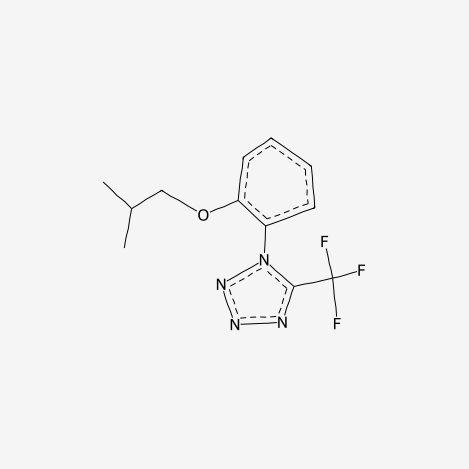 CC(C)COc1ccccc1-n1nnnc1C(F)(F)F